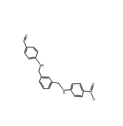 O=Nc1ccc(NCc2cccc(CNc3ccc([N+](=O)[O-])cc3)c2)cc1